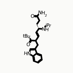 CC(C)N[C@H](/C=C/C(Cc1c[nH]c2ccccc12)C(=O)C(C)(C)C)CCC(N)=O